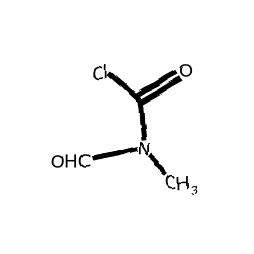 CN(C=O)C(=O)Cl